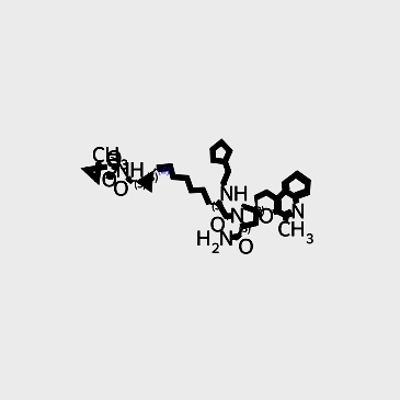 Cc1nc2ccccc2c2c1O[C@]1(CC2)C[C@@H](C(N)=O)N(C(=O)[C@H](CCCCC/C=C\[C@@H]2C[C@@H]2C(=O)NS(=O)(=O)C2(C)CC2)NCCC2CCCC2)C1